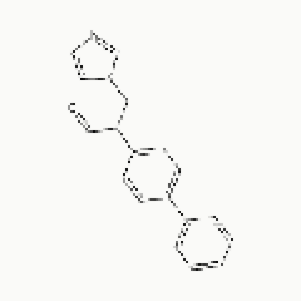 O=CC(Cn1ccnc1)c1ccc(-c2ccccc2)cc1